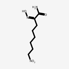 NC(=O)C(CCCCCC[N+](=O)[O-])=NO